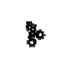 Nc1cc(C(F)F)c(-c2nc(ON3CCCCCOC3)nc(N3O/C=C\CCCO3)n2)cn1